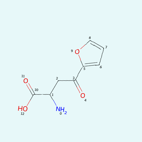 NC(CC(=O)c1ccco1)C(=O)O